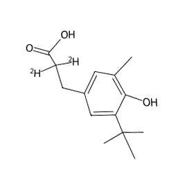 [2H]C([2H])(Cc1cc(C)c(O)c(C(C)(C)C)c1)C(=O)O